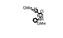 COCn1cc(-c2nc(Nc3cc[c]cc3OC)ncc2Cl)cn1